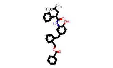 CC(C)CC(C(=O)Nc1cc(Cc2ccccc2COC(=O)c2ccccc2)ccc1O)c1ccccc1